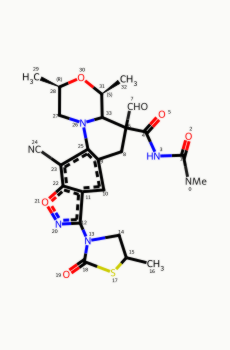 CNC(=O)NC(=O)C1(C=O)Cc2cc3c(N4CC(C)SC4=O)noc3c(C#N)c2N2C[C@@H](C)O[C@@H](C)C21